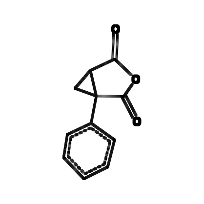 O=C1OC(=O)C2(c3ccccc3)CC12